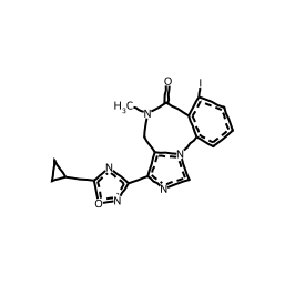 CN1Cc2c(-c3noc(C4CC4)n3)ncn2-c2cccc(I)c2C1=O